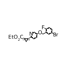 CCOC(=O)[C@H]1C[C@@H]1c1ccc(OCc2cc(Br)ccc2F)cn1